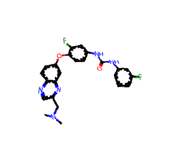 CN(C)Cc1cnc2ccc(Oc3ccc(NC(=O)Nc4cccc(F)c4)cc3F)cc2n1